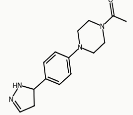 CC(=O)N1CCN(c2ccc(C3CC=NN3)cc2)CC1